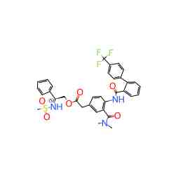 CN(C)C(=O)c1cc(CC(=O)OC[C@@H](NS(C)(=O)=O)c2ccccc2)ccc1NC(=O)c1ccccc1-c1ccc(C(F)(F)F)cc1